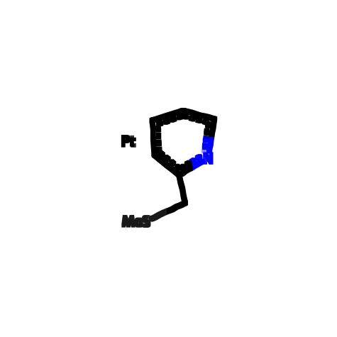 CSCc1ccccn1.[Pt]